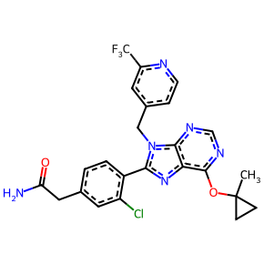 CC1(Oc2ncnc3c2nc(-c2ccc(CC(N)=O)cc2Cl)n3Cc2ccnc(C(F)(F)F)c2)CC1